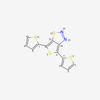 c1csc(-c2sc(-c3cccs3)c3snnc23)c1